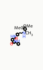 COc1ccc(C(C)NCCCc2ccc(NC(=O)c3cccc4c(=O)cc(-c5ccccc5)[nH]c34)cc2)cc1OC